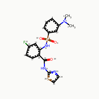 CN(C)c1cccc(S(=O)(=O)Nc2cc(F)ccc2C(=O)Nc2nccs2)c1